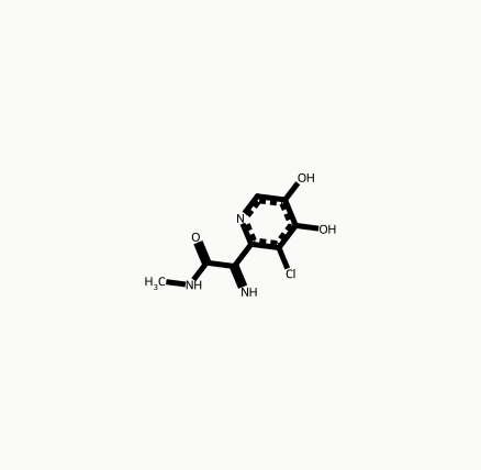 CNC(=O)C(=N)c1ncc(O)c(O)c1Cl